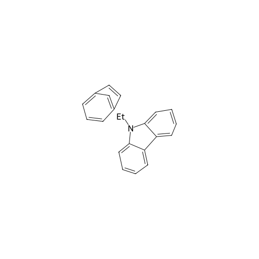 C1=Cc2cccc1c2.CCn1c2ccccc2c2ccccc21